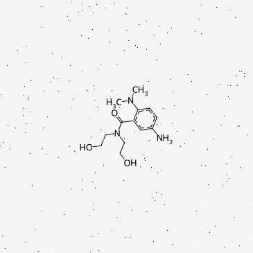 CN(C)c1ccc(N)cc1C(=O)N(CCO)CCO